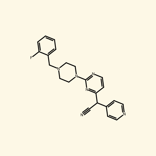 N#CC(c1ccncc1)c1ccnc(N2CCN(Cc3ccccc3F)CC2)n1